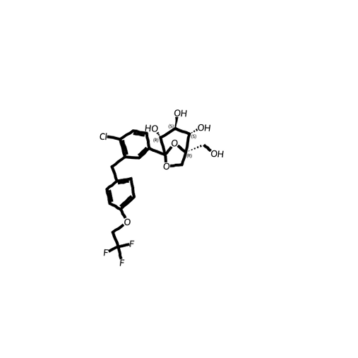 OC[C@]12COC(c3ccc(Cl)c(Cc4ccc(OCC(F)(F)F)cc4)c3)(O1)[C@H](O)[C@@H](O)[C@@H]2O